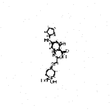 O=c1[nH]c(CSC2CCS(O)(O)CC2)nc2cc(NC3CCCC3)cc(F)c12